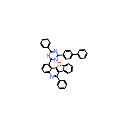 c1ccc(-c2ccc(-c3nc(-c4ccccc4)nc(-c4cccc5nc(-c6ccccc6)c6c7ccccc7oc6c45)n3)cc2)cc1